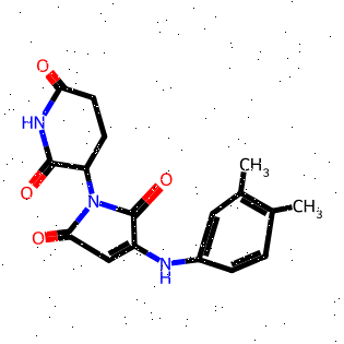 Cc1ccc(NC2=CC(=O)N(C3CCC(=O)NC3=O)C2=O)cc1C